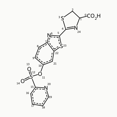 O=C(O)C1CSC(c2nc3ccc(OS(=O)(=O)c4ccccn4)cc3s2)=N1